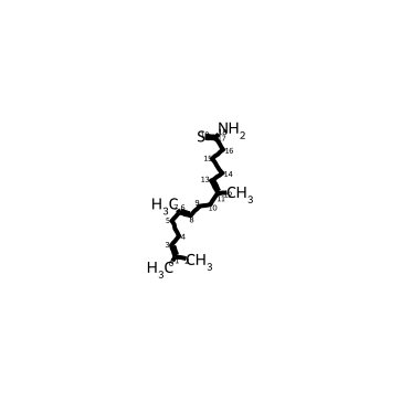 CC(C)=CCCC(C)=CCCC(C)=CCCCC(N)=S